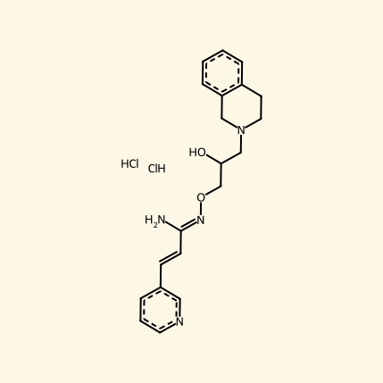 Cl.Cl.NC(C=Cc1cccnc1)=NOCC(O)CN1CCc2ccccc2C1